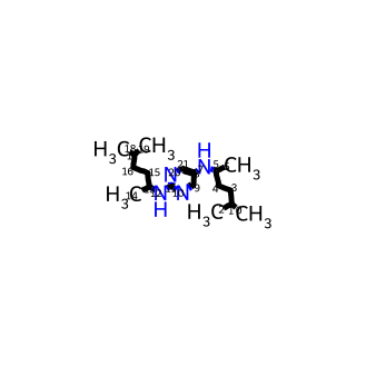 CC(C)CCC(C)Nc1cnc(NC(C)CCC(C)C)nc1